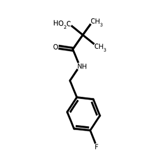 CC(C)(C(=O)O)C(=O)NCc1ccc(F)cc1